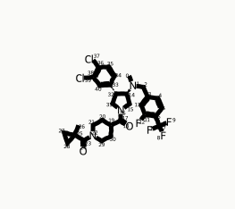 CN(Cc1ccc(C(F)(F)F)c(F)c1)[C@H]1CN(C(=O)C2CCN(C(=O)C3(C)CC3)CC2)C[C@@H]1c1ccc(Cl)c(Cl)c1